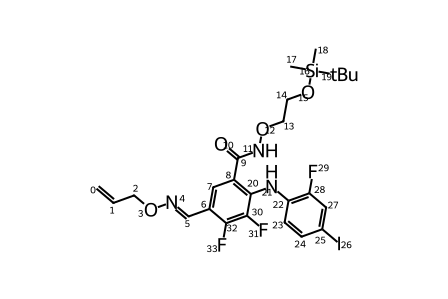 C=CCON=Cc1cc(C(=O)NOCCO[Si](C)(C)C(C)(C)C)c(Nc2ccc(I)cc2F)c(F)c1F